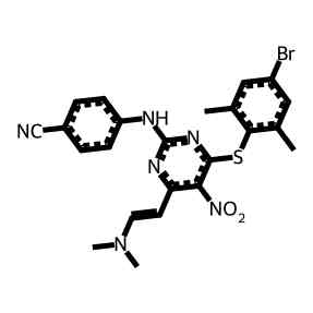 Cc1cc(Br)cc(C)c1Sc1nc(Nc2ccc(C#N)cc2)nc(C=CN(C)C)c1[N+](=O)[O-]